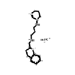 C1=NCCCN1NCCCNCC1CCc2ccccc2O1.Cl.Cl